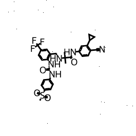 CC(C)(NCc1cc(C(F)(F)F)ccc1NC(=O)Nc1ccc(S(C)(=O)=O)cc1)C(=O)Nc1ccc(C#N)c(C2CC2)c1